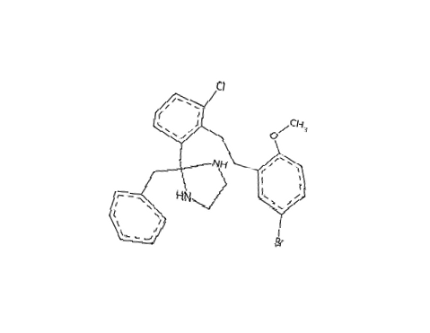 COc1ccc(Br)cc1CCc1c(Cl)cccc1C1(Cc2ccccc2)NCCN1